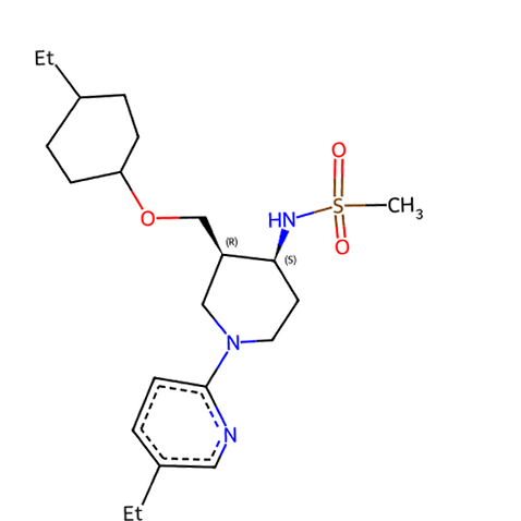 CCc1ccc(N2CC[C@H](NS(C)(=O)=O)[C@H](COC3CCC(CC)CC3)C2)nc1